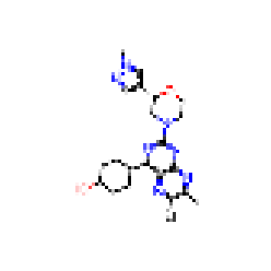 CCc1nc2c(C3CCC(O)CC3)nc(N3CCO[C@@H](c4cnn(C)c4)C3)nc2nc1C